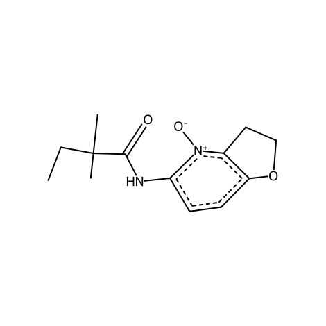 CCC(C)(C)C(=O)Nc1ccc2c([n+]1[O-])CCO2